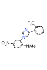 CNc1ccc([N+](=O)[O-])cc1-n1cnc(-c2cc[c]cc2C(F)(F)F)c1